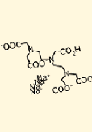 O=C([O-])CN(CCN(CCN(CC(=O)[O-])CC(=O)[O-])CC(=O)O)CC(=O)[O-].[Na+].[Na+].[Na+].[Na+]